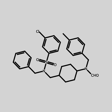 Cc1ccc(CN(C=O)C2CCC(CN(Cc3ccccc3)S(=O)(=O)c3cccc(Cl)c3)CC2)cc1